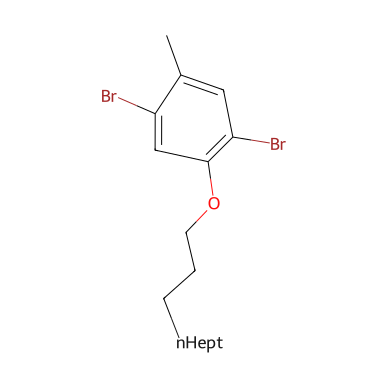 CCCCCCCCCCOc1cc(Br)c(C)cc1Br